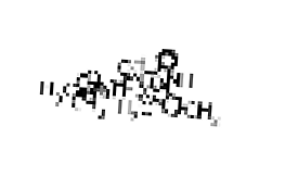 CC1CCC(C(C)C)C(C(=O)Nc2ccccc2CCNC(=O)CCNC(=O)OC(C)(C)C)C1